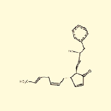 O=C(O)/C=C/C/C=C\C[C@H]1C=CC(=O)[C@@H]1/C=C/[C@@H](O)Cc1ccccc1